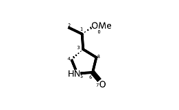 CO[C@@H](C)[C@H]1CNC(=O)C1